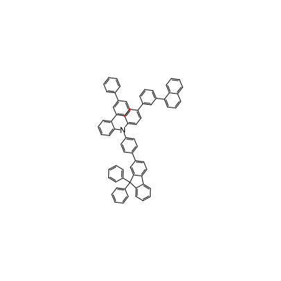 c1ccc(-c2cccc(-c3ccccc3N(c3ccc(-c4cccc(-c5cccc6ccccc56)c4)cc3)c3ccc(-c4ccc5c(c4)C(c4ccccc4)(c4ccccc4)c4ccccc4-5)cc3)c2)cc1